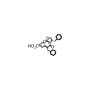 O=C(O)N1CC[C@H]([C@H](Cc2ccccc2)C(=O)N2C(=O)OC[C@@H]2Cc2ccccc2)C1